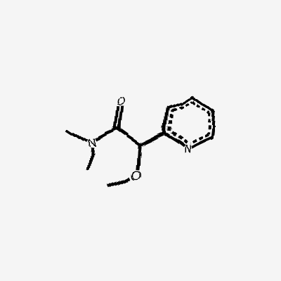 COC(C(=O)N(C)C)c1ccccn1